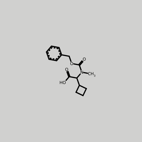 CN(C(=O)OCc1ccccc1)C(C(=O)O)C1CCC1